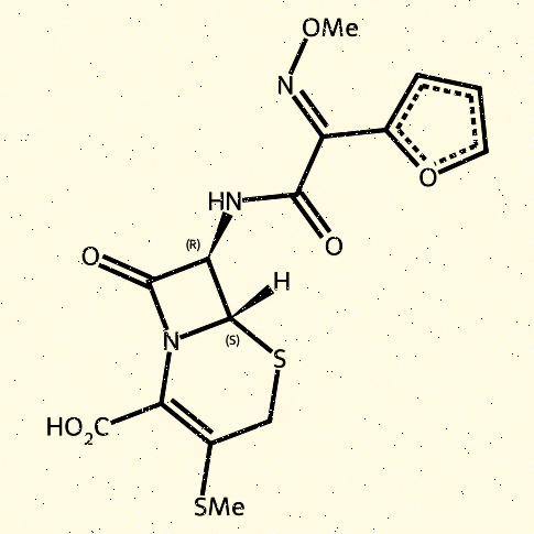 CON=C(C(=O)N[C@@H]1C(=O)N2C(C(=O)O)=C(SC)CS[C@@H]12)c1ccco1